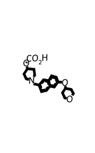 O=C(O)OC1CCN(Cc2ccc3cc(OC4CCOCC4)ccc3c2)CC1